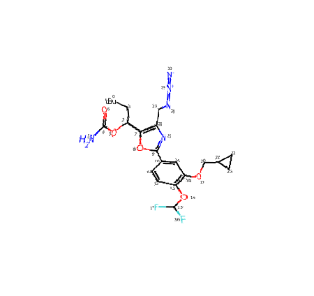 CC(C)(C)CC(OC(N)=O)c1oc(-c2ccc(OC(F)F)c(OCC3CC3)c2)nc1CN=[N+]=[N-]